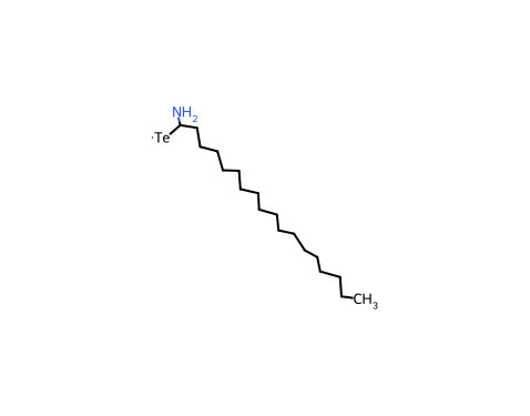 CCCCCCCCCCCCCCCCCC(N)[Te]